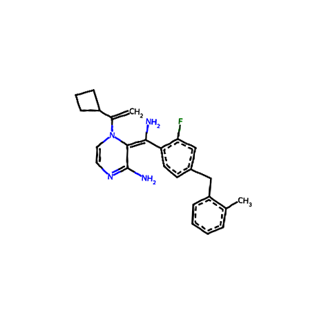 C=C(C1CCC1)N1C=CN=C(N)/C1=C(/N)c1ccc(Cc2ccccc2C)cc1F